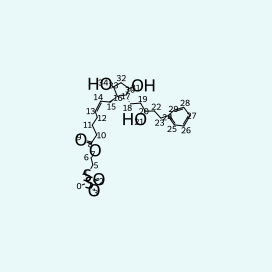 CS(=O)(=O)SCCOC(=O)CCC/C=C\C[C@@H]1[C@@H](CC[C@@H](O)CCc2ccccc2)[C@H](O)C[C@H]1O